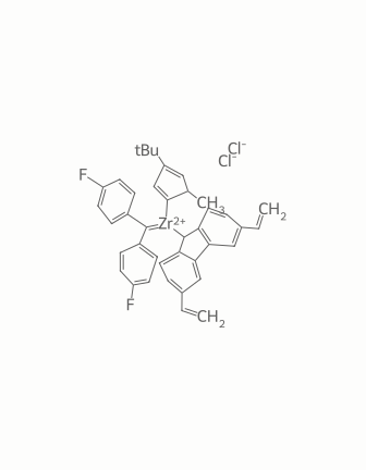 C=Cc1ccc2c(c1)-c1cc(C=C)ccc1[CH]2[Zr+2]([C]1=CC(C(C)(C)C)=CC1C)=[C](c1ccc(F)cc1)c1ccc(F)cc1.[Cl-].[Cl-]